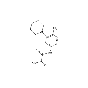 Cc1ccc(NC(=O)C(C)C)cc1N1CCCCC1